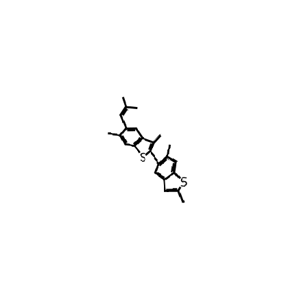 CC(C)=Cc1cc2c(C)c(-c3cc4cc(C)sc4cc3C)sc2cc1C